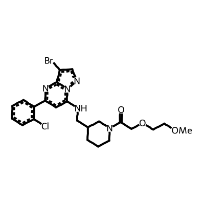 COCCOCC(=O)N1CCCC(CNc2cc(-c3ccccc3Cl)nc3c(Br)cnn23)C1